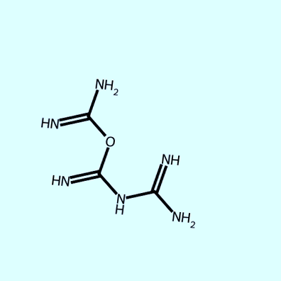 N=C(N)NC(=N)OC(=N)N